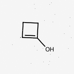 OC1=[C]CC1